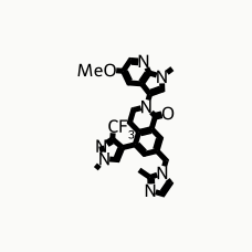 COc1cnc2c(c1)c(N1CCc3c(cc(Cn4ccnc4C)cc3-c3cn(C)nc3C(F)(F)F)C1=O)cn2C